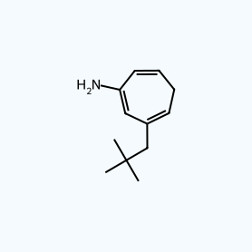 CC(C)(C)CC1=CCC=CC(N)=C1